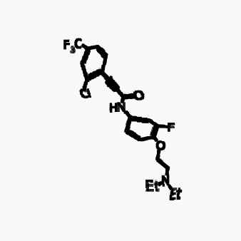 CCN(CC)CCOc1ccc(NC(=O)C#Cc2ccc(C(F)(F)F)cc2Cl)cc1F